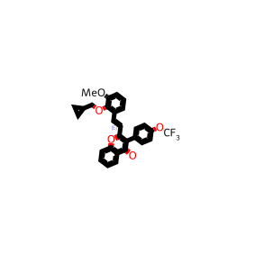 COc1cccc(/C=C/c2oc3ccccc3c(=O)c2-c2ccc(OC(F)(F)F)cc2)c1OCC1CC1